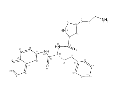 NCCSC1CNC(C(=O)N[C@H](CCc2ccccc2)C(=O)Nc2cnc3ccccc3c2)C1